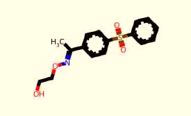 CC(=NOCCO)c1ccc(S(=O)(=O)c2ccccc2)cc1